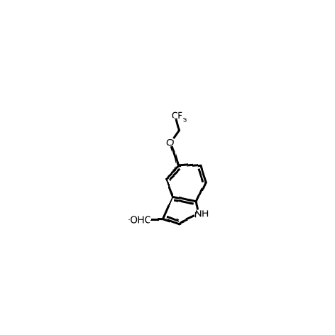 O=[C]c1c[nH]c2ccc(OCC(F)(F)F)cc12